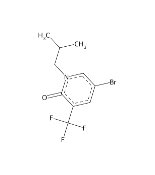 CC(C)Cn1cc(Br)cc(C(F)(F)F)c1=O